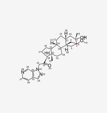 COCC[C@]12CC[C@@](C)(O)C[C@H]1CC[C@H]1[C@@H]3CC[C@H](C(=O)Cn4ncc5ccncc54)[C@@]3(C)CC[C@@H]12